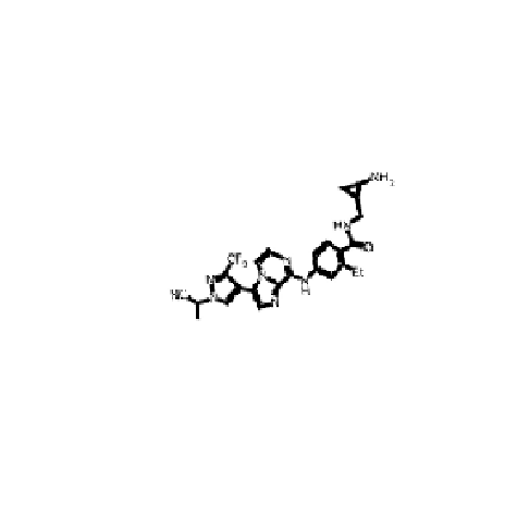 CCc1cc(Nc2nccn3c(-c4cn(C(C)C#N)nc4C(F)(F)F)cnc23)ccc1C(=O)NCC1CC1N